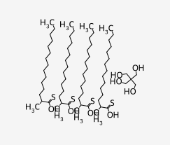 CCCCCCCCCCCCCC(C)C(O)=S.CCCCCCCCCCCCCC(C)C(O)=S.CCCCCCCCCCCCCC(C)C(O)=S.CCCCCCCCCCCCCC(C)C(O)=S.OCC(CO)(CO)CO